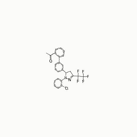 CC(=O)c1ccccc1-c1cccc(C2CC(C(F)(F)C(F)(F)F)=NN2c2ccccc2Cl)c1